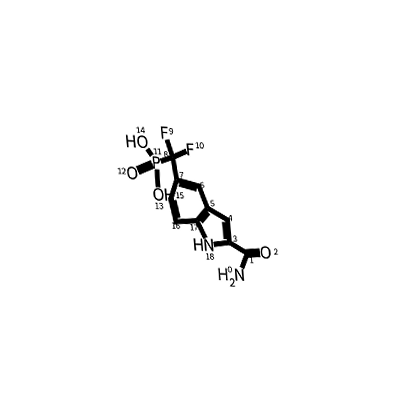 NC(=O)c1cc2cc(C(F)(F)P(=O)(O)O)ccc2[nH]1